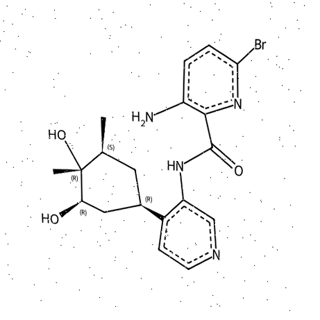 C[C@H]1C[C@@H](c2ccncc2NC(=O)c2nc(Br)ccc2N)C[C@@H](O)[C@]1(C)O